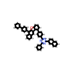 c1ccc(-c2ccc(-c3c4ccccc4cc4c3oc3cccc(-c5ccc(-c6nc(-c7ccccc7)nc(-c7ccc8ccccc8c7)n6)cc5)c34)cc2)cc1